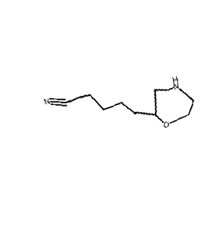 N#CCCCCC1CNCCO1